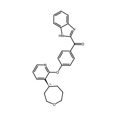 O=C(c1ccc(Oc2ncccc2[C@H]2CCCOCC2)cc1)c1nc2ccccc2[nH]1